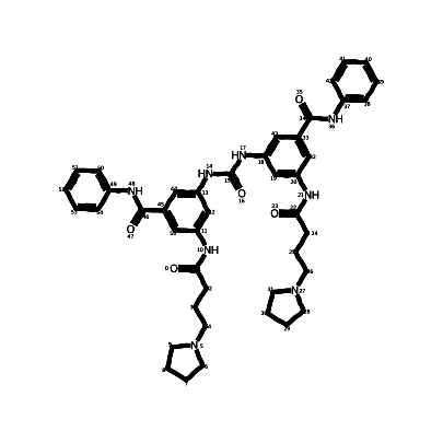 O=C(CCCN1CCCC1)Nc1cc(NC(=O)Nc2cc(NC(=O)CCCN3CCCC3)cc(C(=O)Nc3ccccc3)c2)cc(C(=O)Nc2ccccc2)c1